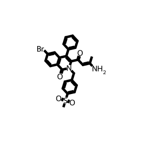 C/C(N)=C\C(=O)c1c(-c2ccccc2)c2cc(Br)ccc2c(=O)n1Cc1ccc(S(C)(=O)=O)cc1